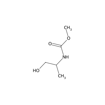 COC(=O)NC(C)CO